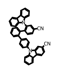 N#Cc1ccc(-c2ccccc2-c2ccc(-n3c4ccccc4c4ccc(C#N)cc43)cc2)c(-n2c3ccccc3c3ccccc32)c1